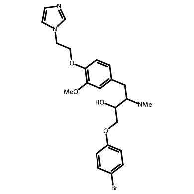 CNC(Cc1ccc(OCCn2ccnc2)c(OC)c1)C(O)COc1ccc(Br)cc1